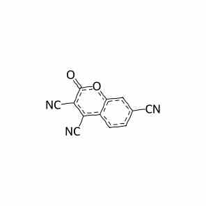 N#Cc1ccc2c(C#N)c(C#N)c(=O)oc2c1